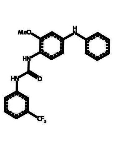 COc1cc(Nc2ccccc2)ccc1NC(=O)Nc1cccc(C(F)(F)F)c1